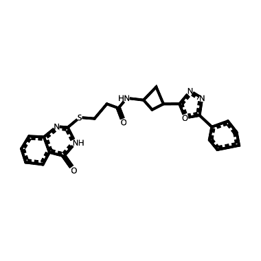 O=C(CCSc1nc2ccccc2c(=O)[nH]1)NC1CC(c2nnc(-c3ccccc3)o2)C1